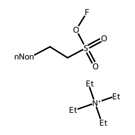 CCCCCCCCCCCS(=O)(=O)OF.CC[N+](CC)(CC)CC